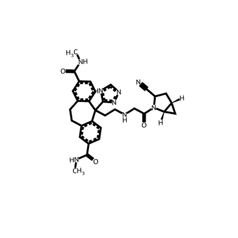 CNC(=O)c1ccc2c(c1)CCc1cc(C(=O)NC)ccc1C2(CCNCC(=O)N1C(C#N)C[C@@H]2C[C@@H]21)c1nnc[nH]1